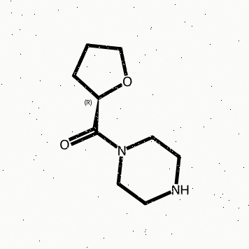 O=C([C@H]1CCCO1)N1CCNCC1